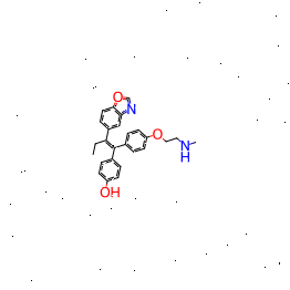 CCC(=C(c1ccc(O)cc1)c1ccc(OCCNC)cc1)c1ccc2ocnc2c1